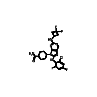 NC(=O)[C@H]1CC[C@@H](n2c(Nc3c(F)cc(F)cc3Cl)nc3cnc(NC4CC(F)(F)C4)nc32)CC1